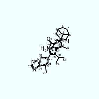 Cc1c([C@H]2CC3CCC2CN(CC(N)=O)C3)sc2[nH]c(-c3cc(C)c4ncnn4c3)c(C(C)C)c12